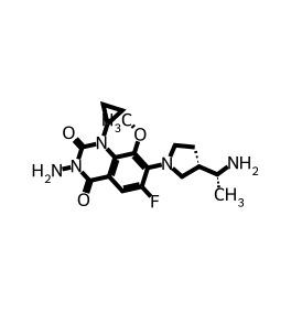 COc1c(N2CC[C@H]([C@@H](C)N)C2)c(F)cc2c(=O)n(N)c(=O)n(C3CC3)c12